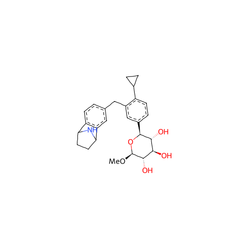 CO[C@H]1O[C@@H](c2ccc(C3CC3)c(Cc3ccc4c(c3)C3CCC4N3)c2)[C@H](O)[C@@H](O)[C@@H]1O